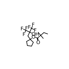 CCC(C)(C)C(=O)OC1(CC(O)(C(F)(F)F)C(F)(F)F)CCCC1